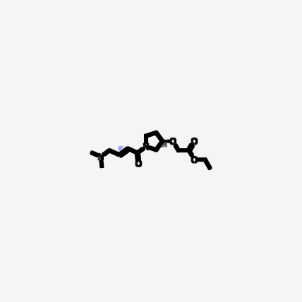 CCOC(=O)CO[C@@H]1CCN(C(=O)/C=C/CN(C)C)C1